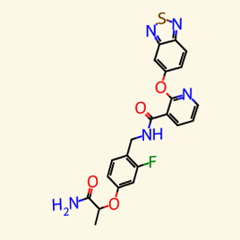 CC(Oc1ccc(CNC(=O)c2cccnc2Oc2ccc3nsnc3c2)c(F)c1)C(N)=O